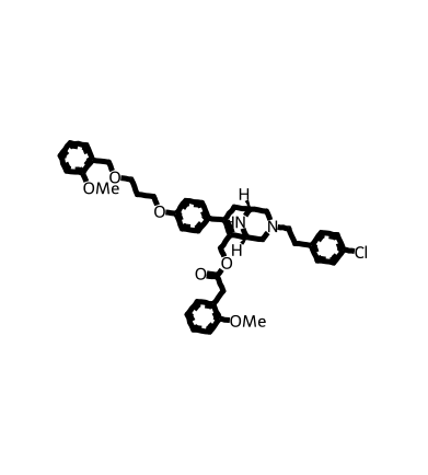 COc1ccccc1COCCCOc1ccc(C2=C(COC(=O)Cc3ccccc3OC)[C@H]3CN(CCc4ccc(Cl)cc4)C[C@@H](C2)N3)cc1